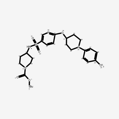 CC(C)(C)OC(=O)N1CCC(NS(=O)(=O)c2ccc(OC3CCN(c4ccc(C(F)(F)F)cc4)CC3)nc2)CC1